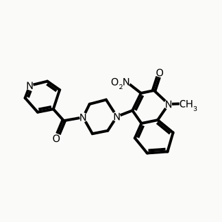 Cn1c(=O)c([N+](=O)[O-])c(N2CCN(C(=O)c3ccncc3)CC2)c2ccccc21